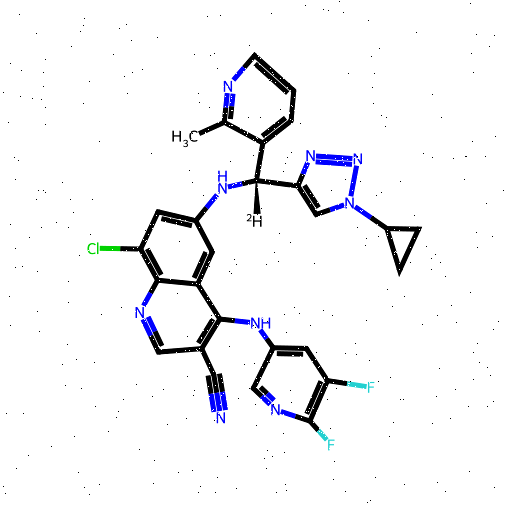 [2H][C@](Nc1cc(Cl)c2ncc(C#N)c(Nc3cnc(F)c(F)c3)c2c1)(c1cn(C2CC2)nn1)c1cccnc1C